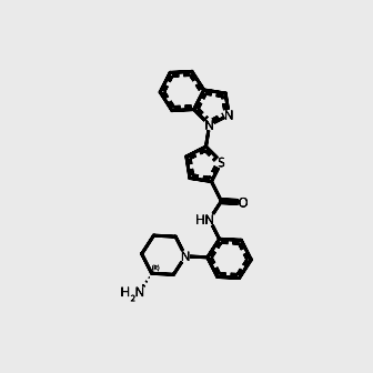 N[C@@H]1CCCN(c2ccccc2NC(=O)c2ccc(-n3ncc4ccccc43)s2)C1